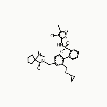 Cc1onc(NS(=O)(=O)c2ccccc2-c2ccc(CNC(=O)C3(N(C)C)CCCC3)cc2COC2CC2)c1Cl